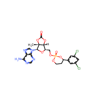 C[C@@]12OC(=O)O[C@@H]1[C@@H](COP1(=O)OCCC(c3cc(Cl)cc(Cl)c3)O1)O[C@H]2n1cnc2c(N)ncnc21